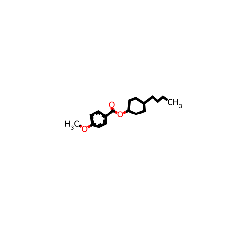 CCCCC1CCC(OC(=O)c2ccc(OC)cc2)CC1